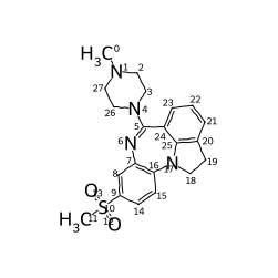 CN1CCN(C2=Nc3cc(S(C)(=O)=O)ccc3N3CCc4cccc2c43)CC1